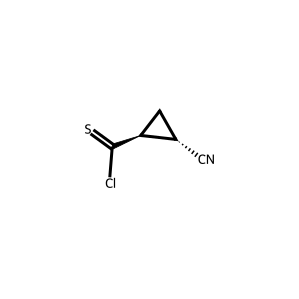 N#C[C@H]1C[C@@H]1C(=S)Cl